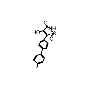 Cc1ccc(-c2ccc(C3=C(O)C(=O)NS3(=O)=O)cc2)cc1